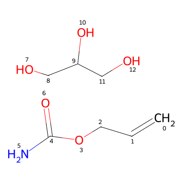 C=CCOC(N)=O.OCC(O)CO